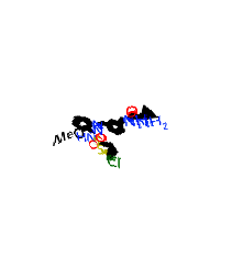 COc1cccc2c1c(NS(=O)(=O)c1ccc(Cl)s1)nn2Cc1cccc(CNC(=O)C2(N)CC2)c1